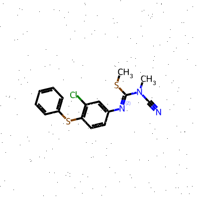 CS/C(=N\c1ccc(Sc2ccccc2)c(Cl)c1)N(C)C#N